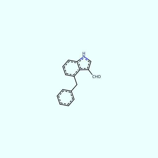 O=Cc1c[nH]c2cccc(Cc3ccccc3)c12